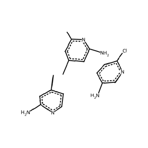 Cc1cc(C)nc(N)c1.Cc1ccnc(N)c1.Nc1ccc(Cl)nc1